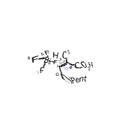 CCCCC/C=C(/C)C(=O)O.F[B-](F)(F)F